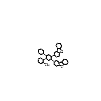 N#Cc1ccccc1-c1cc(-c2ccc3oc4ccccc4c3c2)c(-c2ccc3oc4ccccc4c3c2)cc1-c1ccccc1